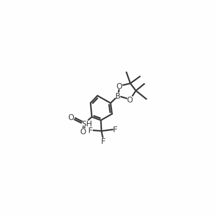 CC1(C)OB(c2ccc([SH](=O)=O)c(C(F)(F)F)c2)OC1(C)C